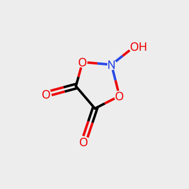 O=c1on(O)oc1=O